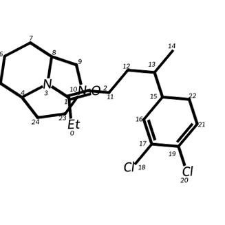 CCC(=O)N1C2CCCC1CN(CCC(C)C1C=C(Cl)C(Cl)=CC1)CC2